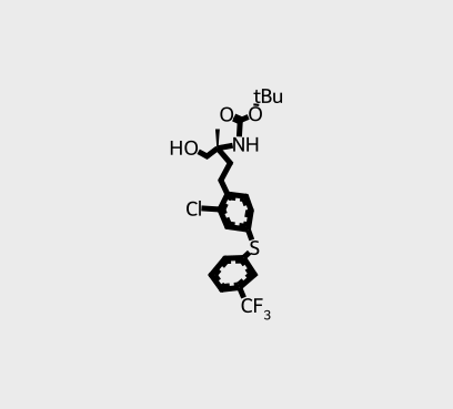 CC(C)(C)OC(=O)N[C@@](C)(CO)CCc1ccc(Sc2cccc(C(F)(F)F)c2)cc1Cl